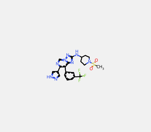 CS(=O)(=O)N1CCC(Nc2nc3c(-c4cccc(C(F)(F)F)c4)c(-c4cn[nH]c4)ncn3n2)CC1